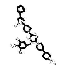 CN1CCC(C2CCN(C(=O)[C@@H](Cc3cc(Br)c(N)c(Br)c3)NC(=O)N3CCC(N4N=C(c5ccccc5)C[NH+]4[O-])CC3)CC2)CC1